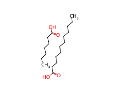 CCCCCCC(=O)O.CCCCCCCCCCCC(=O)O